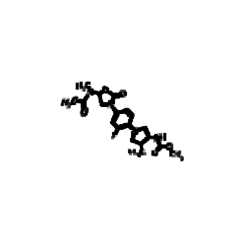 COC(=O)N[C@@H]1CN(c2ccc(N3CC(N(C)C(C)=O)OC3=O)cc2F)C[C@@H]1C